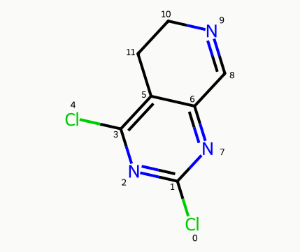 Clc1nc(Cl)c2c(n1)C=NCC2